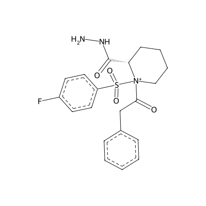 NNC(=O)[C@@H]1CCCC[N+]1(C(=O)Cc1ccccc1)S(=O)(=O)c1ccc(F)cc1